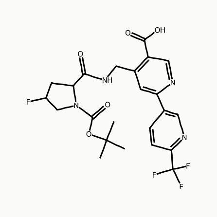 CC(C)(C)OC(=O)N1CC(F)CC1C(=O)NCc1cc(-c2ccc(C(F)(F)F)nc2)ncc1C(=O)O